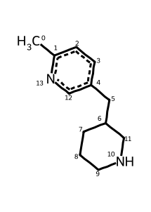 Cc1ccc(CC2CCCNC2)cn1